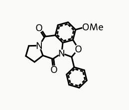 COc1ccc2c3c1OC(c1ccccc1)N3C(=O)C1CCCN1C2=O